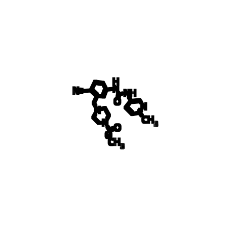 COC(=O)N1CCN(Cc2cc(NC(=O)Nc3ccc(C)nc3)ccc2C#N)CC1